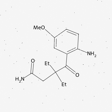 CCC(CC)(CC(N)=O)C(=O)c1cc(OC)ccc1N